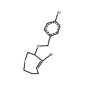 CC(=O)c1ccc(COC2CCCCC/C=C/2Br)cc1